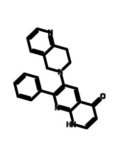 O=c1cc[nH]c2nc(-c3ccccc3)c(N3CCc4ncccc4C3)cc12